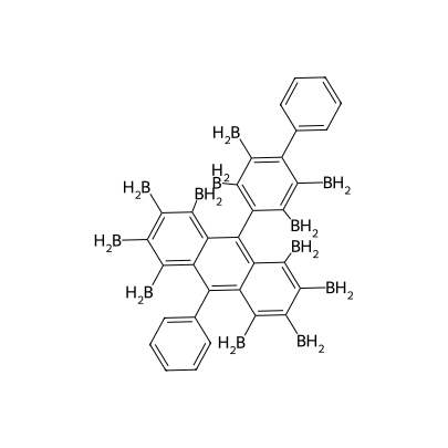 Bc1c(B)c(-c2c3c(B)c(B)c(B)c(B)c3c(-c3ccccc3)c3c(B)c(B)c(B)c(B)c23)c(B)c(B)c1-c1ccccc1